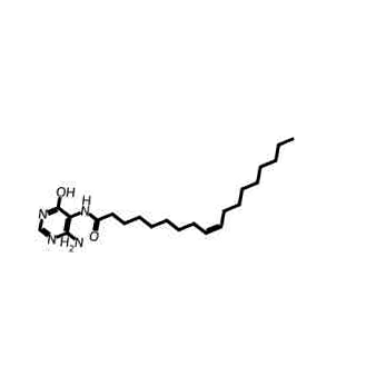 CCCCCCCC/C=C\CCCCCCCC(=O)Nc1c(N)ncnc1O